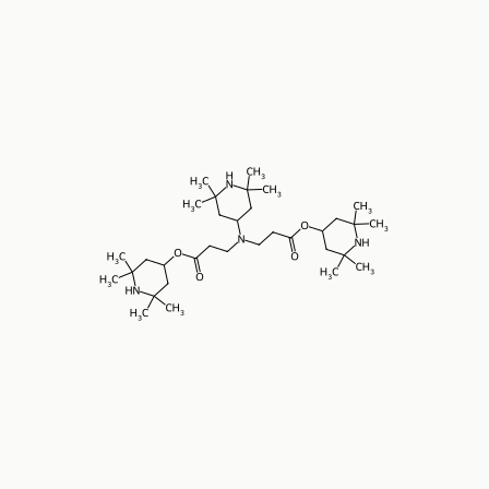 CC1(C)CC(OC(=O)CCN(CCC(=O)OC2CC(C)(C)NC(C)(C)C2)C2CC(C)(C)NC(C)(C)C2)CC(C)(C)N1